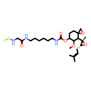 COC1C(OC(=O)NCCCCCCNC(=O)CNSF)CCC2(CO2)C1[C@]1(C)O[C@@H]1CC=C(C)C